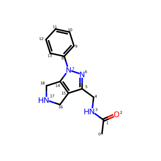 CC(=O)NCc1nn(-c2ccccc2)c2c1CNC2